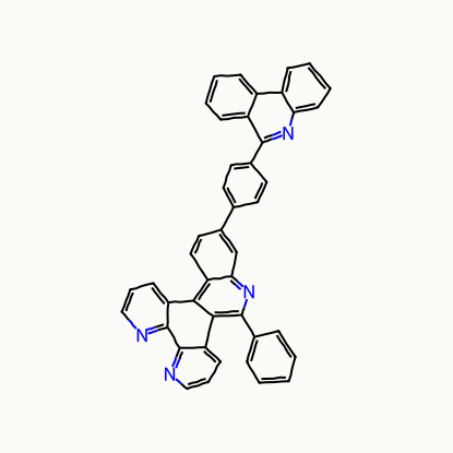 c1ccc(-c2nc3cc(-c4ccc(-c5nc6ccccc6c6ccccc56)cc4)ccc3c3c4cccnc4c4ncccc4c23)cc1